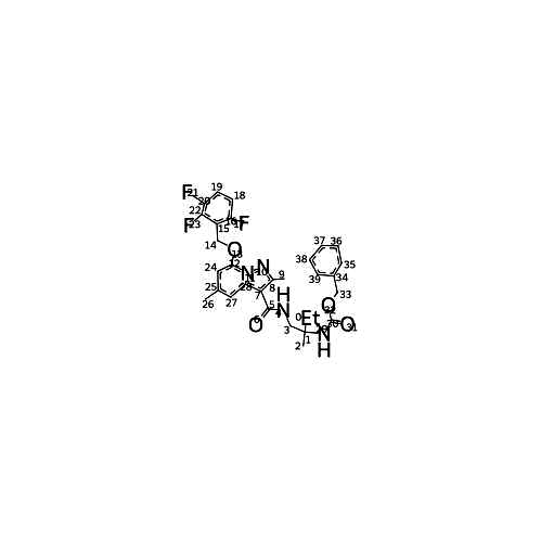 CCC(C)(CNC(=O)c1c(C)nn2c(OCc3c(F)ccc(F)c3F)cc(C)cc12)NC(=O)OCc1ccccc1